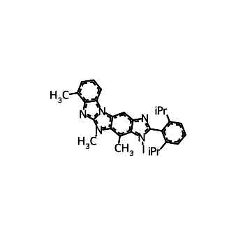 Cc1cccc2c1nc1n(C)c3c(C)c4c(cc3n21)nc(-c1c(C(C)C)cccc1C(C)C)n4I